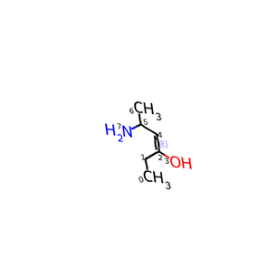 CC/C(O)=C\C(C)N